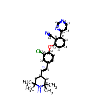 CC1(C)CC(/C=C/c2ccc(Oc3cccc(-c4ccncn4)c3C#N)c(Cl)c2)CC(C)(C)N1